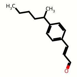 CCCCC(C)c1ccc(C=CC=O)cc1